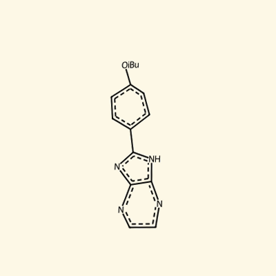 CC(C)COc1ccc(-c2nc3nccnc3[nH]2)cc1